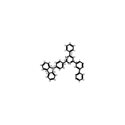 c1ccc(-c2cccc(-c3cc(-c4ccccc4)nc(-c4ccc(-n5c6ccccc6c6ccccc65)cc4)n3)c2)cc1